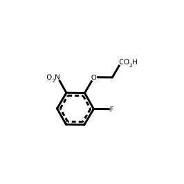 O=C(O)COc1c(F)cccc1[N+](=O)[O-]